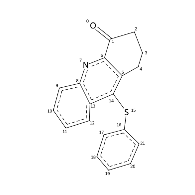 O=C1CCCc2c1nc1ccccc1c2Sc1ccccc1